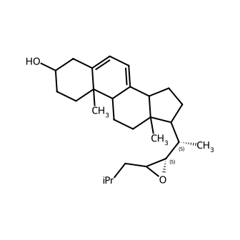 CC(C)CC1O[C@H]1[C@@H](C)C1CCC2C3=CC=C4CC(O)CCC4(C)C3CCC21C